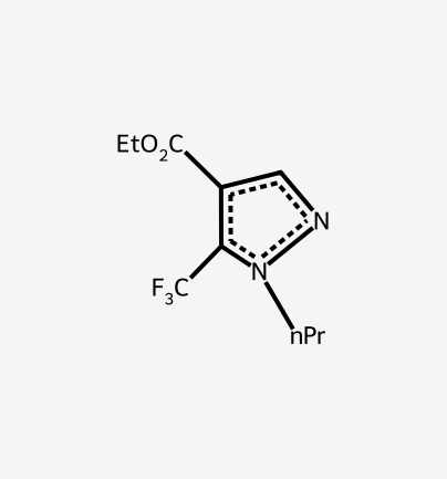 CCCn1ncc(C(=O)OCC)c1C(F)(F)F